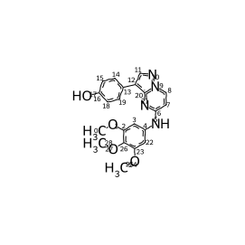 COc1cc(Nc2ccn3ncc(-c4ccc(O)cc4)c3n2)cc(OC)c1OC